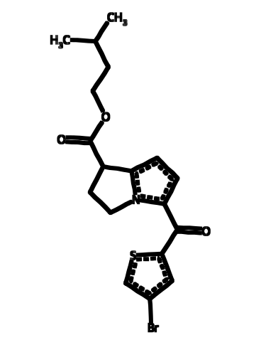 CC(C)CCOC(=O)C1CCn2c(C(=O)c3cc(Br)cs3)ccc21